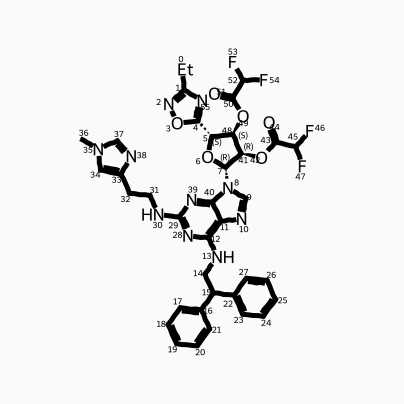 CCc1noc([C@H]2O[C@@H](n3cnc4c(NCC(c5ccccc5)c5ccccc5)nc(NCCc5cn(C)cn5)nc43)[C@H](OC(=O)C(F)F)[C@@H]2OC(=O)C(F)F)n1